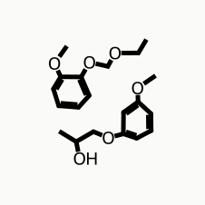 CCOCOc1ccccc1OC.COc1cccc(OCC(C)O)c1